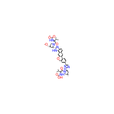 COC[C@H]1C[C@@H](c2nc3ccc4cc5c(cc4c3[nH]2)OCc2cc(-c3cnc([C@@H]4C[C@H](C)CN4C(=O)[C@@H](NC(=O)O)C(C)C)[nH]3)ccc2-5)N(C(=O)[C@@H](NC(=O)OC)C(C)C)C1